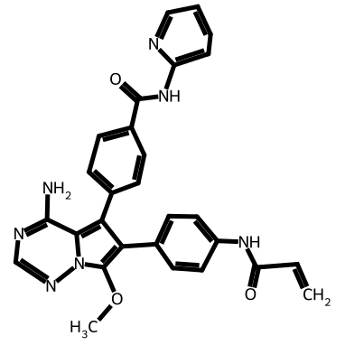 C=CC(=O)Nc1ccc(-c2c(-c3ccc(C(=O)Nc4ccccn4)cc3)c3c(N)ncnn3c2OC)cc1